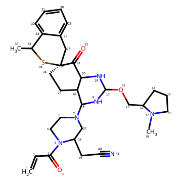 C=CC(=O)N1CCN(C2NC(OCC3CCCN3C)NC3C(=O)[C@]4(CCC32)Cc2ccccc2C(C)S4)CC1CC#N